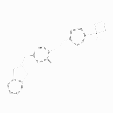 O=c1cc(CN2Cc3ccccc3C2)occ1OCc1ccc(C2(O)COC2)cc1